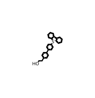 OCCc1ccc(-c2ccc(-[s+]3c4ccccc4c4ccccc43)cc2)cc1